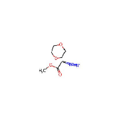 C1COCCO1.COC(=O)C=[N+]=[N-]